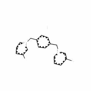 Fc1ccc[n+](Cc2ccc(C[n+]3cccc(F)c3)cc2)c1.[I-].[I-]